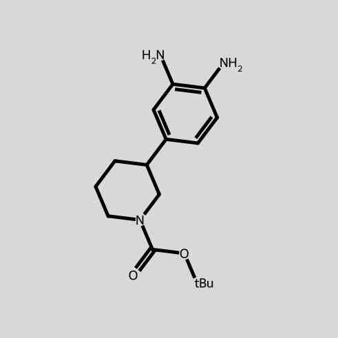 CC(C)(C)OC(=O)N1CCCC(c2ccc(N)c(N)c2)C1